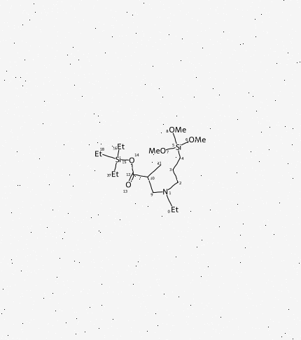 CCN(CCC[Si](OC)(OC)OC)CC(C)C(=O)O[Si](CC)(CC)CC